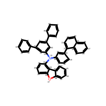 c1ccc(-c2cc(-c3ccccc3)cc(N(c3cccc(-c4cccc5ccccc45)c3)c3cccc4oc5ccccc5c34)c2)cc1